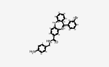 Nc1ccc(CNC(=O)c2ccc3c(c2)N=C(c2cccc(Br)c2)c2ccccc2S3)cc1